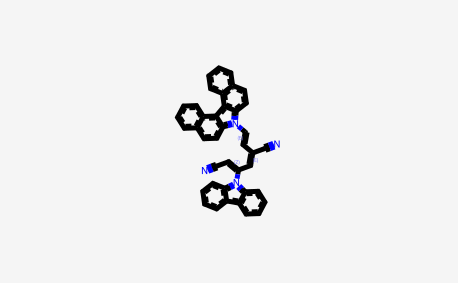 N#C/C=C(/C=C(C#N)\C=C\n1c2ccc3ccccc3c2c2c3ccccc3ccc21)n1c2ccccc2c2ccccc21